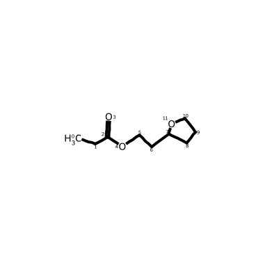 CCC(=O)OCCC1CCCO1